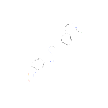 CS(=O)(=O)Nc1cccc(Nc2ncc(-c3ccc4c(Cl)nccc4c3)o2)c1